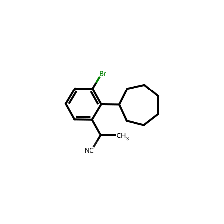 CC(C#N)c1cccc(Br)c1C1CCCCCC1